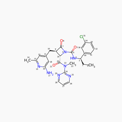 CC[C@@H](NC(=O)N1C(=O)[C@H](Cc2cc(C)nc(N)c2)[C@H]1C(=O)N(C)c1ncccn1)c1cccc(Cl)c1